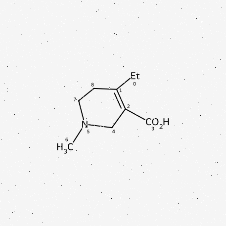 CCC1=C(C(=O)O)CN(C)CC1